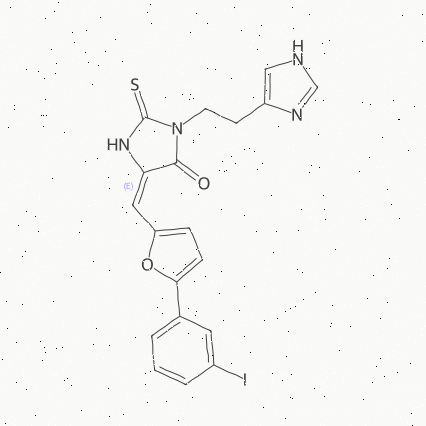 O=C1/C(=C\c2ccc(-c3cccc(I)c3)o2)NC(=S)N1CCc1c[nH]cn1